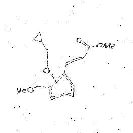 COC(=O)/C=C/c1cccc(OC)c1OCC1CC1